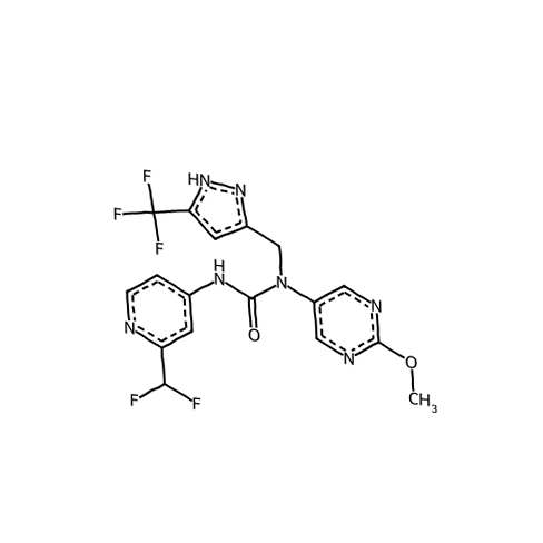 COc1ncc(N(Cc2cc(C(F)(F)F)[nH]n2)C(=O)Nc2ccnc(C(F)F)c2)cn1